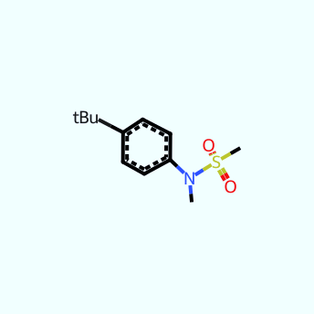 CN(c1ccc(C(C)(C)C)cc1)S(C)(=O)=O